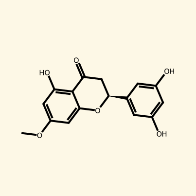 COc1cc(O)c2c(c1)O[C@H](c1cc(O)cc(O)c1)CC2=O